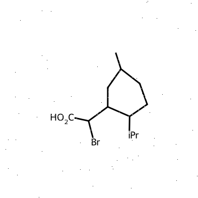 CC1CCC(C(C)C)C(C(Br)C(=O)O)C1